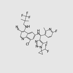 Cc1nc(F)ccc1[C@H](Nc1cc(Cl)c2ncc(C#N)c(NCC(C)(C)C(F)(F)F)c2c1)c1nnn(C2(C(F)F)CC2)c1I